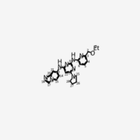 CCOCc1cccc(Nc2nc(Nc3ccn4ccnc4c3)cc(N3CCCC3)n2)n1